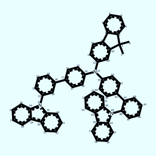 CC1(C)c2ccccc2-c2ccc(N(c3ccc(-c4cccc(-n5c6ccccc6c6ccccc65)c4)cc3)c3ccc(-c4ccccc4-n4c5ccccc5c5ccccc54)cc3)cc21